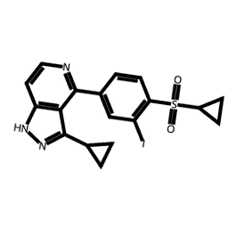 O=S(=O)(c1ccc(-c2nccc3[nH]nc(C4CC4)c23)cc1I)C1CC1